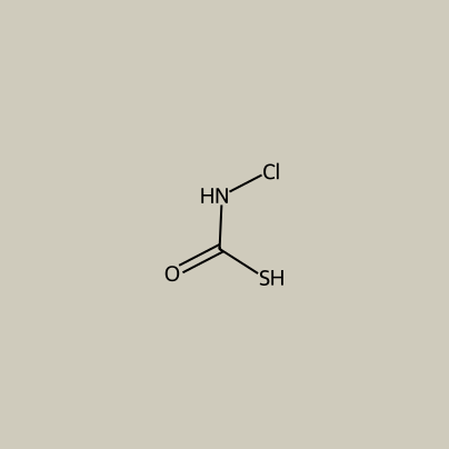 O=C(S)NCl